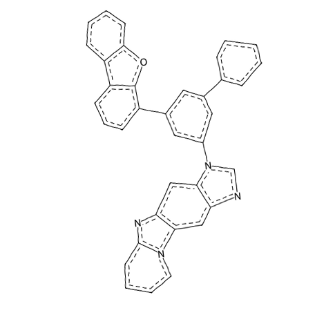 c1ccc(-c2cc(-c3cccc4c3oc3ccccc34)cc(-n3cnc4cc5c(cc43)nc3ccccn35)c2)cc1